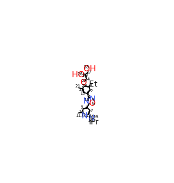 CCc1cc(-c2noc(-c3cc(C)nc(N(C)C(C)C)c3)n2)cc(C)c1OC[C@@H](O)CO